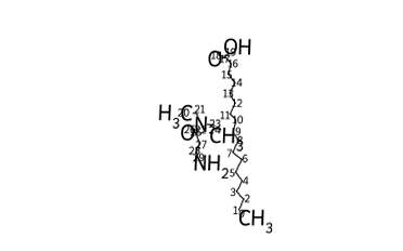 CCCCCCCCCCCCCCCCCC(=O)O.CCN(CC)C(=O)CCN